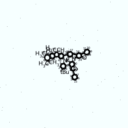 CC(C)(C)c1ccc(N2B3c4cc5cc(-c6ccccc6)oc5cc4-n4c5cc6oc7ccccc7c6cc5c5ccc(c3c54)-c3cc4c(cc32)-c2cc3c(cc2C4(C)C)C(C)(C)CCC3(C)C)cc1